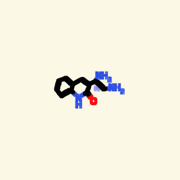 N/C=C(\N)c1cc2ccccc2[nH]c1=O